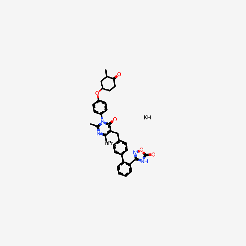 CCCc1nc(C)n(-c2ccc(OC3CCC(=O)C(C)C3)cc2)c(=O)c1Cc1ccc(-c2ccccc2-c2noc(=O)[nH]2)cc1.[KH]